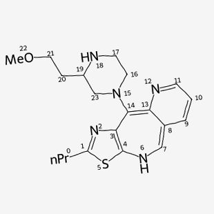 CCCc1nc2c(s1)NC=c1cccnc1=C2N1CCNC(CCOC)C1